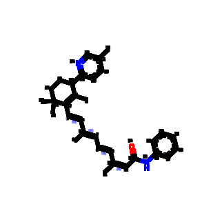 CC1=C(/C=C/C(C)=C/C=C/C(C)=C\C(=O)Nc2ccccc2)C(C)(C)CCC1c1ccc(C)cn1